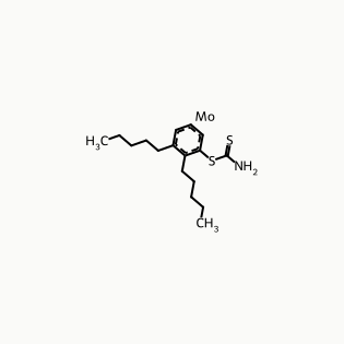 CCCCCc1cccc(SC(N)=S)c1CCCCC.[Mo]